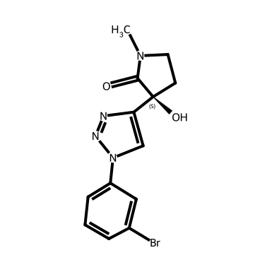 CN1CC[C@](O)(c2cn(-c3cccc(Br)c3)nn2)C1=O